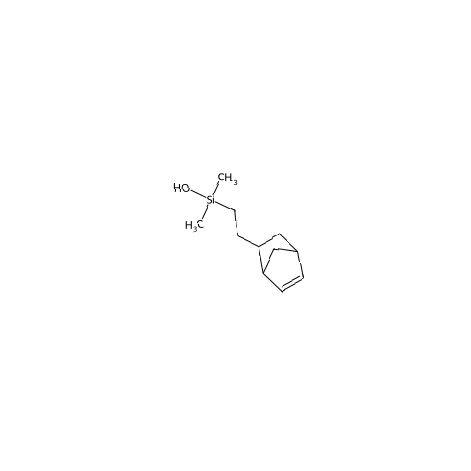 C[Si](C)(O)CCC1CC2C=CC1C2